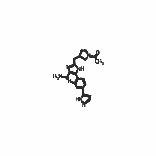 CC(=O)N1CCC(Cc2nc3c(N)nc4cc(-c5ccn[nH]5)ccc4c3[nH]2)C1